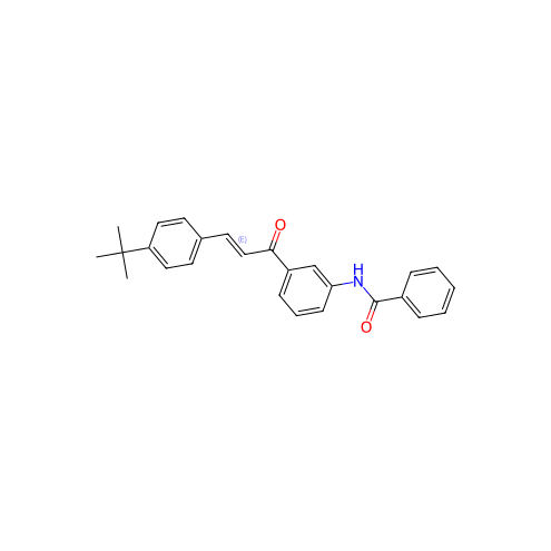 CC(C)(C)c1ccc(/C=C/C(=O)c2cccc(NC(=O)c3ccccc3)c2)cc1